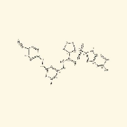 N#Cc1ccc(COc2cc(F)cc(CNC(=O)C3CCCN3S(=O)(=O)c3cc4cc(F)ccc4o3)c2)cc1